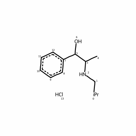 CC(C)CNC(C)C(O)c1ccccc1.Cl